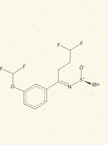 CC(C)(C)[S@+]([O-])/N=C(\CCC(F)F)c1cccc(OC(F)F)c1